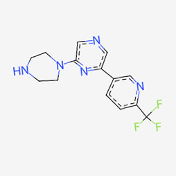 FC(F)(F)c1ccc(-c2cncc(N3CCNCC3)n2)cn1